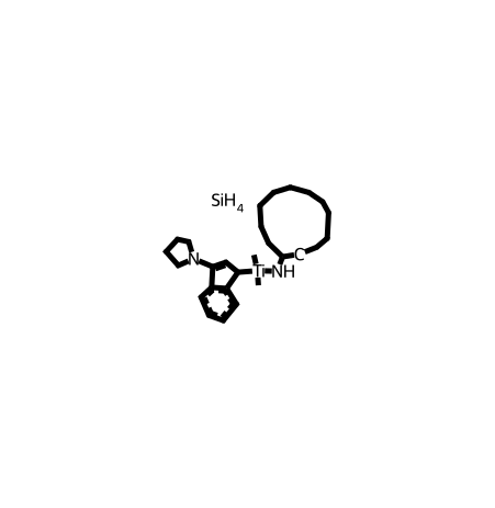 [CH3][Ti]([CH3])([NH]C1CCCCCCCCCCC1)[CH]1C=C(N2CCCC2)c2ccccc21.[SiH4]